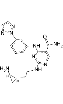 NC(=O)c1cnc(NCC[C@@H]2C[C@H]2N)nc1Nc1cccc(-n2nccn2)c1